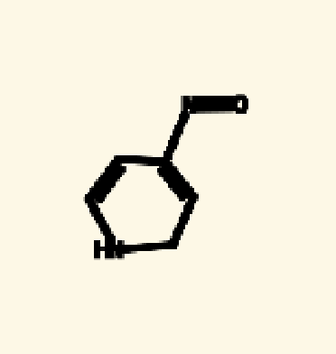 O=NC1=CCNC=C1